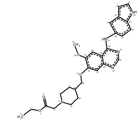 CCOC(=O)CN1CCC(COc2cc3ncnc(Nc4ccc5[nH]ccc5c4)c3cc2OC)CC1